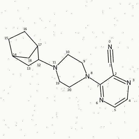 N#Cc1nccnc1N1CCN(C2CC3CCC2C3)CC1